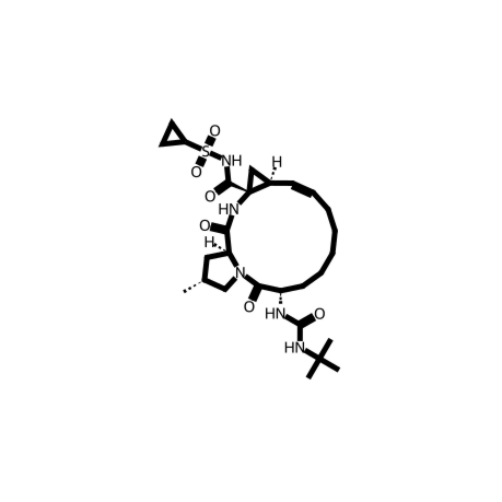 C[C@@H]1C[C@H]2C(=O)N[C@]3(C(=O)NS(=O)(=O)C4CC4)C[C@H]3/C=C\CCCCC[C@H](NC(=O)NC(C)(C)C)C(=O)N2C1